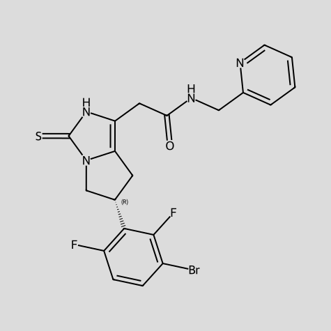 O=C(Cc1[nH]c(=S)n2c1C[C@H](c1c(F)ccc(Br)c1F)C2)NCc1ccccn1